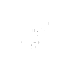 CCCC(C)(C)OON[C@H](C(=O)O)C(C)C